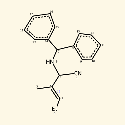 CC/C=C(\C)C(C#N)NC(c1ccccc1)c1ccccc1